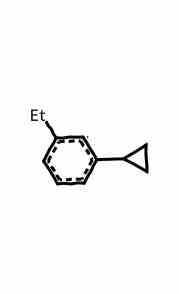 CCc1[c]c(C2CC2)ccc1